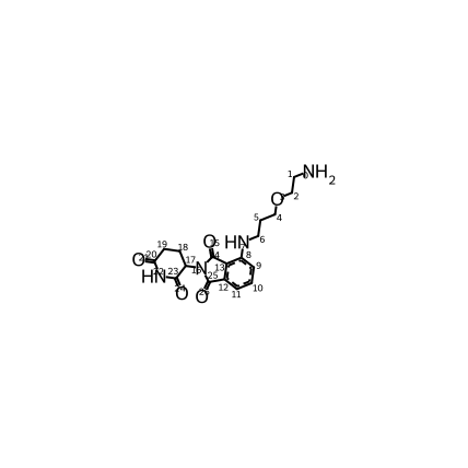 NCCOCCCNc1cccc2c1C(=O)N(C1CCC(=O)NC1=O)C2=O